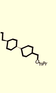 C=CCC[C@H]1CC[C@H](C2CCC(COCCC)CC2)CC1